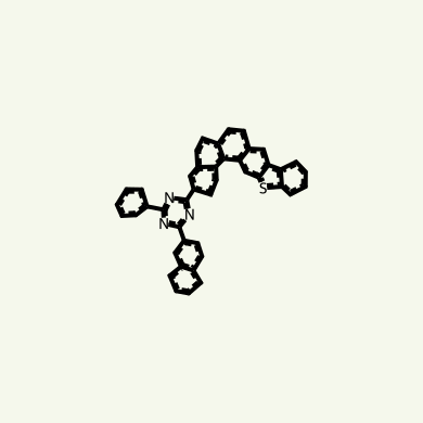 c1ccc(-c2nc(-c3ccc4ccccc4c3)nc(-c3ccc4c(ccc5ccc6cc7c(cc6c54)sc4ccccc47)c3)n2)cc1